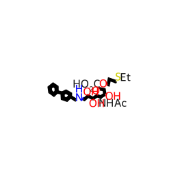 CCSCCCO[C@]1(C(=O)O)CC(O)[C@@H](NC(C)=O)[C@H]([C@H](O)[C@H](O)CNCc2ccc(-c3ccccc3)cc2)O1